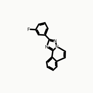 Fc1cccc(-c2nc3c4ccccc4ccn3n2)c1